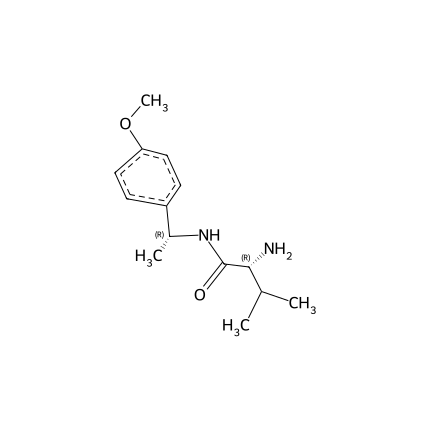 COc1ccc([C@@H](C)NC(=O)[C@H](N)C(C)C)cc1